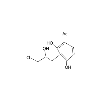 CC(=O)c1ccc(O)c(CC(O)CCl)c1O